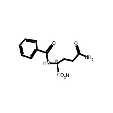 NC(=O)CC[C@H](NC(=O)c1ccccc1)C(=O)O